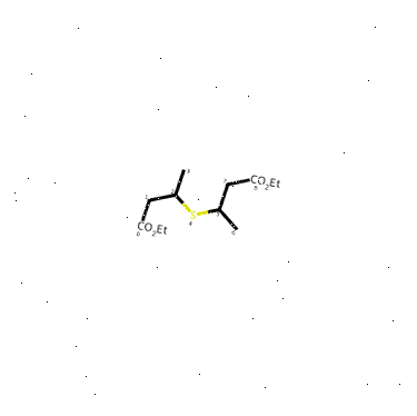 CCOC(=O)CC(C)SC(C)CC(=O)OCC